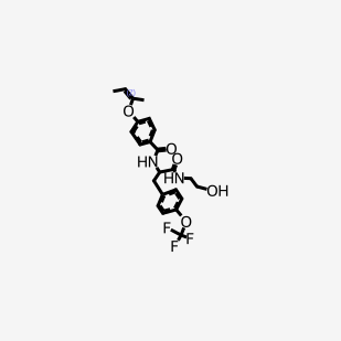 C/C=C(/C)Oc1ccc(C(=O)NC(Cc2ccc(OC(F)(F)F)cc2)C(=O)NCCO)cc1